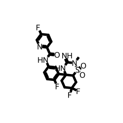 CN1C(=N)NC2(c3cc(NC(=O)c4ccc(F)cn4)ccc3F)CCC(F)(F)CC2S1(=O)=O